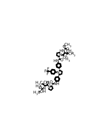 COC(=O)N[C@H](C(=O)N1CCC[C@H]1C(=O)Nc1ccc([C@@H]2CC[C@@H](c3ccc(NC(=O)[C@@H]4CCCN4C(=O)[C@H](NC(=O)OC)C(C)(C)C)cc3)N2c2ccc(C(F)(F)F)cc2)cc1)C(C)(C)C